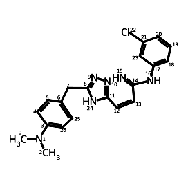 CN(C)c1ccc(Cc2nnc(/C=C\C(=N)Nc3cccc(Cl)c3)[nH]2)cc1